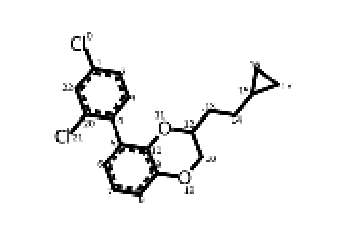 Clc1ccc(-c2cccc3c2OC([CH]CC2CC2)CO3)c(Cl)c1